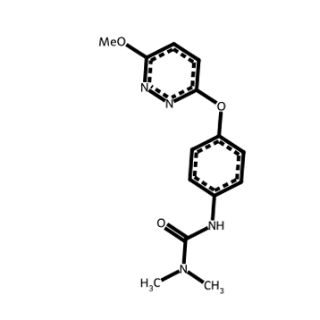 COc1ccc(Oc2ccc(NC(=O)N(C)C)cc2)nn1